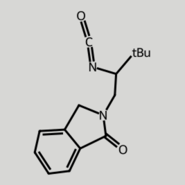 CC(C)(C)C(CN1Cc2ccccc2C1=O)N=C=O